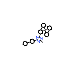 Cc1nc(-c2ccc(-c3ccccc3)cc2)nc(-c2ccc3c(c2)C2(c4ccccc4-c4ccccc42)c2ccccc2-3)n1